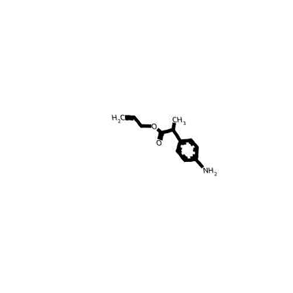 C=CCOC(=O)C(C)c1ccc(N)cc1